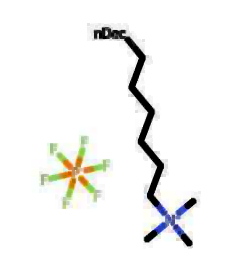 CCCCCCCCCCCCCCCC[N+](C)(C)C.F[P-](F)(F)(F)(F)F